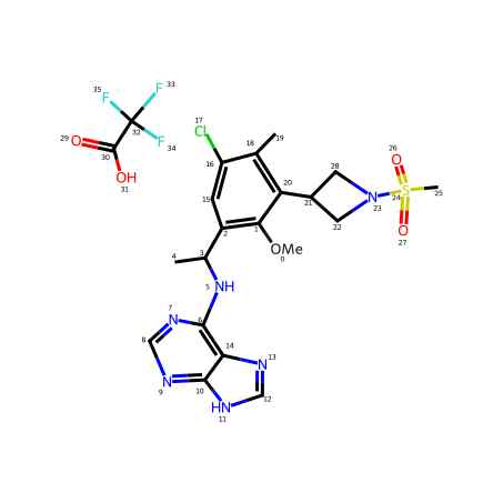 COc1c(C(C)Nc2ncnc3[nH]cnc23)cc(Cl)c(C)c1C1CN(S(C)(=O)=O)C1.O=C(O)C(F)(F)F